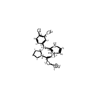 CC(C)(C)OC(=O)N1CCC[C@@H]1N(c1ccc(Cl)c(Cl)c1)c1nccs1